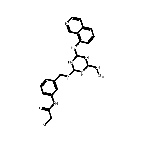 CNC1NC(NCc2cccc(NC(=O)CCl)c2)NC(Nc2cccc3ccncc23)N1